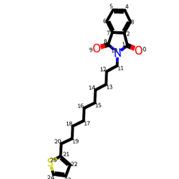 O=C1c2ccccc2C(=O)N1CCCCCCCCCCc1cccs1